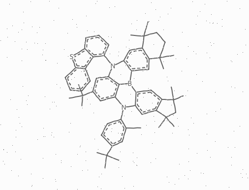 Cc1cc(C(C)(C)C)ccc1N1c2cc3c(cc2B2c4cc5c(cc4N(c4cccc6sc7ccccc7c46)c4cc(C(C)(C)C)cc1c42)C(C)(C)CCC5(C)C)C(C)(C)CC3(C)C